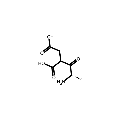 C[C@H](N)C(=O)C(CC(=O)O)C(=O)O